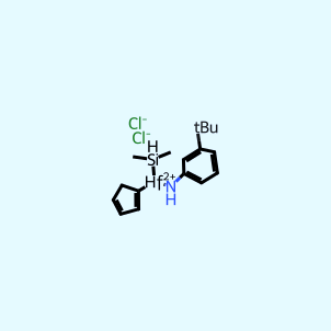 C[SiH](C)[Hf+2]([NH]c1cccc(C(C)(C)C)c1)[C]1=CC=CC1.[Cl-].[Cl-]